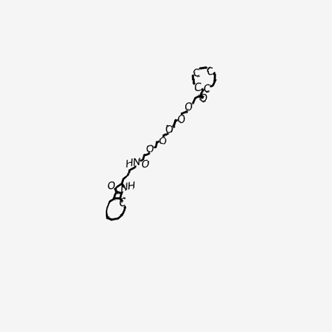 O=C(CCOCCOCCOCCOCCOCCC(=O)C1CCCCCCCCCCC1)NCCCCC1NC2C3CCCCCCCCCC3C2C1=O